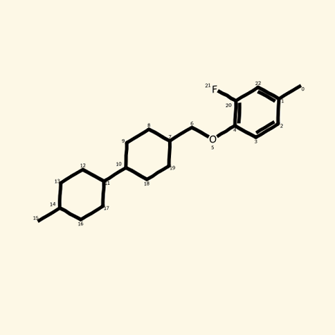 Cc1ccc(OCC2CCC(C3CCC(C)CC3)CC2)c(F)c1